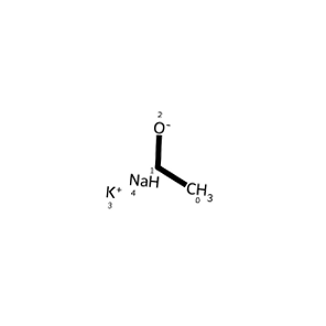 CC[O-].[K+].[NaH]